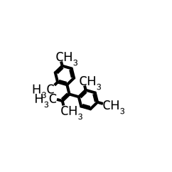 CC(C)=C(c1ccc(C)cc1C)c1ccc(C)cc1C